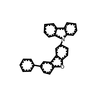 c1ccc(-c2ccc3oc4ccc(-n5c6ccccc6c6ccccc65)cc4c3c2)cc1